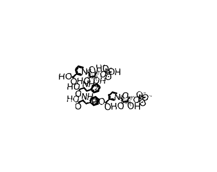 NC(Cc1ccccc1)C(=O)O.NC(Cc1ccccc1)C(=O)O.O=C(O)c1ccc[n+]([C@@H]2O[C@H](COP(=O)(O)O)[C@H](O)[C@@H]2O)c1.O=C(O)c1ccc[n+]([C@@H]2O[C@H](COP(=O)([O-])[O-])[C@H](O)[C@@H]2O)c1